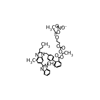 CCCc1nc2c(C)cc(-c3nc4ccccc4n3C)cc2n1Cc1ccc(-c2ccccc2C(=O)OC(C)OC(=O)OCCOC[C@H](CC)O[N+](=O)[O-])cc1